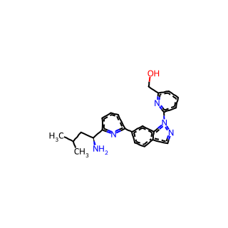 CC(C)C[C@H](N)c1cccc(-c2ccc3cnn(-c4cccc(CO)n4)c3c2)n1